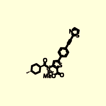 COC(=O)c1sc(-c2ccc(C#Cc3nccs3)cc2)cc1N(C(=O)[C@H]1CC[C@H](C)CC1)C(C)C